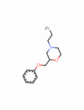 CC(C)CCN1CCOC(COc2ccccc2)C1